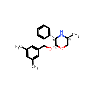 C[C@H]1CO[C@H](OCc2cc(C(F)(F)F)cc(C(F)(F)F)c2)[C@H](c2ccccc2)N1